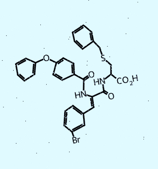 O=C(NC(CSCc1ccccc1)C(=O)O)C(=Cc1cccc(Br)c1)NC(=O)c1ccc(Oc2ccccc2)cc1